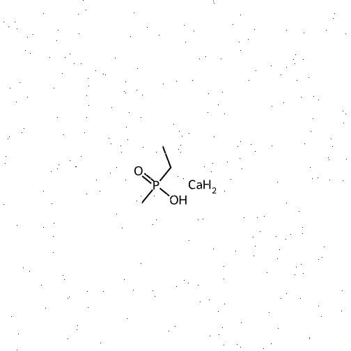 CCP(C)(=O)O.[CaH2]